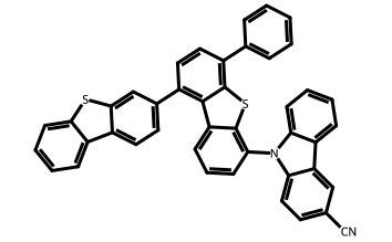 N#Cc1ccc2c(c1)c1ccccc1n2-c1cccc2c1sc1c(-c3ccccc3)ccc(-c3ccc4c(c3)sc3ccccc34)c12